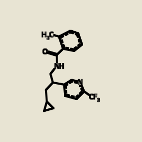 Cc1ccccc1C(=O)NCC(CC1CC1)c1ccc(C(F)(F)F)nc1